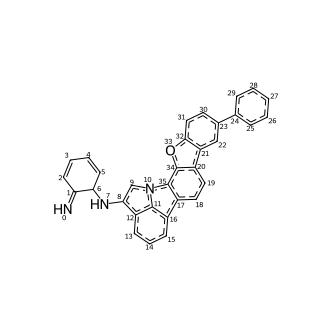 N=C1C=CC=CC1Nc1cn2c3c1cccc3c1ccc3c4cc(-c5ccccc5)ccc4oc3c12